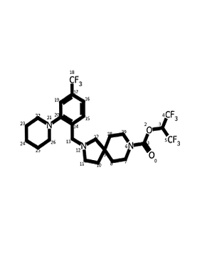 O=C(OC(C(F)(F)F)C(F)(F)F)N1CCC2(CCN(Cc3ccc(C(F)(F)F)cc3N3CCCCC3)C2)CC1